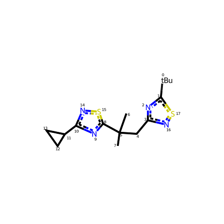 CC(C)(C)c1nc(CC(C)(C)c2nc(C3CC3)ns2)ns1